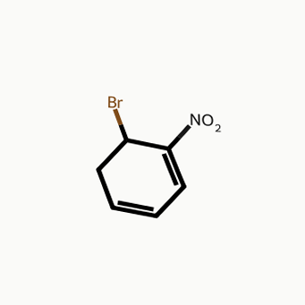 O=[N+]([O-])C1=CC=CCC1Br